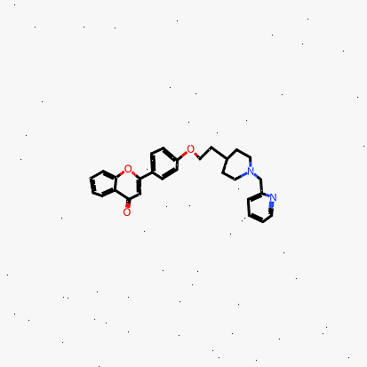 O=c1cc(-c2ccc(OCCC3CCN(Cc4ccccn4)CC3)cc2)oc2ccccc12